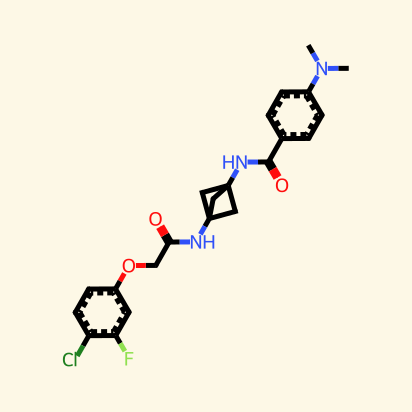 CN(C)c1ccc(C(=O)NC23CC(NC(=O)COc4ccc(Cl)c(F)c4)(C2)C3)cc1